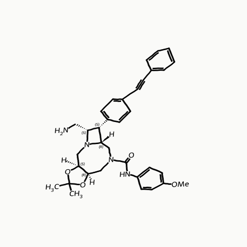 COc1ccc(NC(=O)N2C[C@H]3OC(C)(C)O[C@H]3CN3[C@H](CN)[C@H](c4ccc(C#Cc5ccccc5)cc4)[C@@H]3C2)cc1